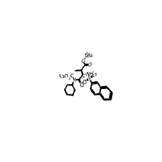 CCOC(=O)N(C(=O)[C@@H](NS(=O)(=O)c1ccc2ccccc2c1)C(C)C(=O)OC(C)(C)C)C1CCCCC1